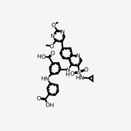 COc1ncc(-c2ccc3c(Nc4cc(Nc5cccc(C(=O)O)c5)cc(C(=O)O)c4)c(S(=O)(=O)NC4CC4)cnc3c2)c(OC)n1